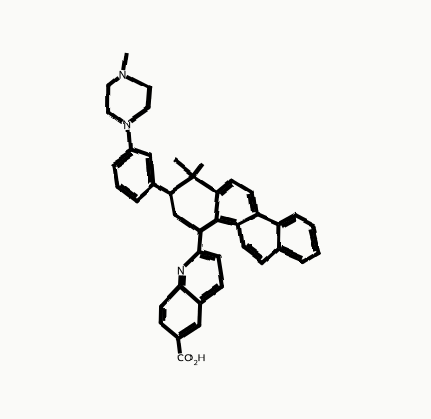 CN1CCN(c2cccc(C3CC(c4ccc5cc(C(=O)O)ccc5n4)c4c(ccc5c4ccc4ccccc45)C3(C)C)c2)CC1